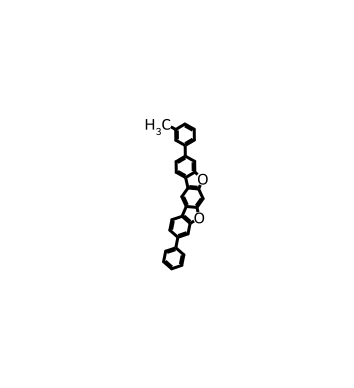 Cc1cccc(-c2ccc3c(c2)oc2cc4oc5cc(-c6ccccc6)ccc5c4cc23)c1